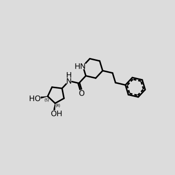 O=C(NC1C[C@@H](O)[C@@H](O)C1)C1CC(CCc2ccccc2)CCN1